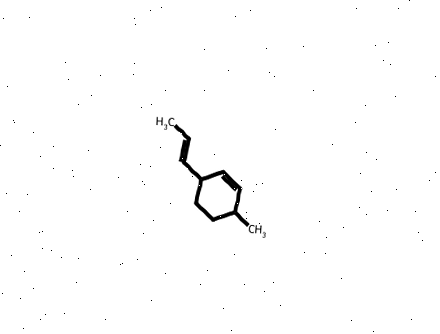 CC=CC1C=CC(C)CC1